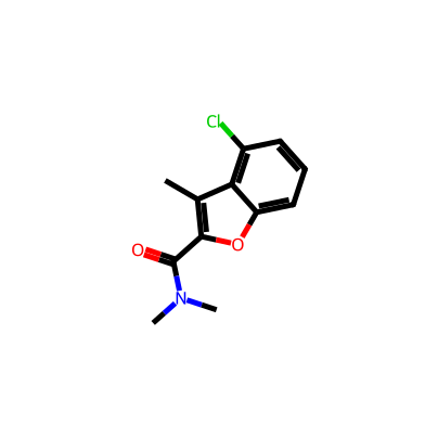 Cc1c(C(=O)N(C)C)oc2cccc(Cl)c12